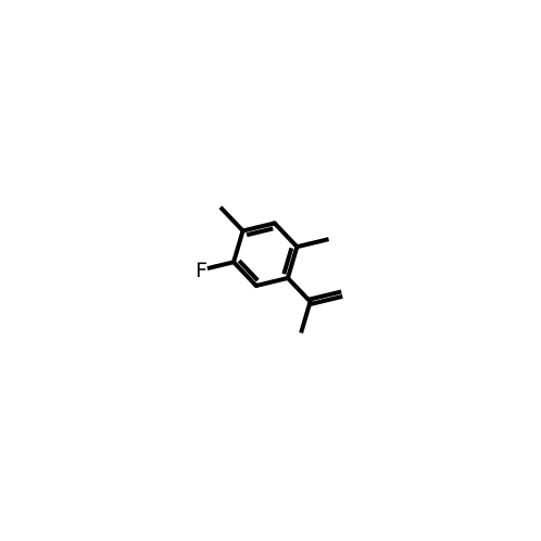 C=C(C)c1cc(F)c(C)cc1C